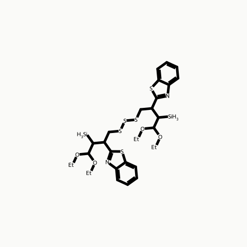 CCOC(OCC)C([SiH3])C(CSSSCC(c1nc2ccccc2s1)C([SiH3])C(OCC)OCC)c1nc2ccccc2s1